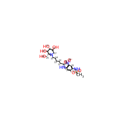 CS(=O)(=O)Nc1ccc(NCCCCCCN2C[C@H](O)[C@@H](O)[C@H](O)[C@H]2CO)c([N+](=O)[O-])c1